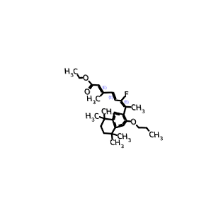 CCCOc1cc2c(cc1\C(C)=C(F)/C=C/C(C)=C/C(=O)OCC)C(C)(C)CCC2(C)C